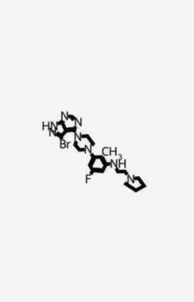 Cc1c(NCCN2CCCC2)cc(F)cc1N1CCN(c2ncnc3[nH]nc(Br)c23)CC1